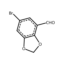 O=Cc1cc(Br)cc2c1OCO2